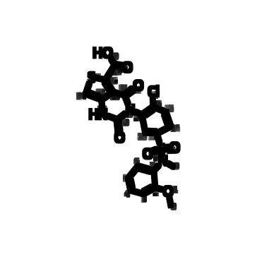 COc1ccccc1N(C)S(=O)(=O)c1ccc(Cl)c(-n2c(=O)[nH]c3csc(C(=O)O)c3c2=O)c1